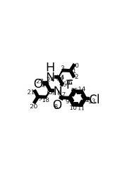 CC(C)C[C@H]1CN(C(=O)c2ccc(Cl)cc2F)[C@@H](CC(C)C)C(=O)N1